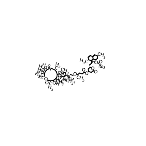 C=C(CCC(=O)O[C@H]1CC(=O)O[C@H](CCC2[C@@H](C)C=CC3=C[C@H](C)C[C@H](OC(=O)[C@@H](C)CC)[C@@H]32)C1)OCCN(C)[C@@H]1C[C@@H](C)O[C@@H](O[C@@H]2[C@@H](C)[C@H](O)[C@@H](C)C(=O)O[C@H](CC)[C@@](C)(O)[C@H](O)[C@@H](C)N(C)C[C@H](C)C[C@@]2(C)O)[C@H]1N(C)C